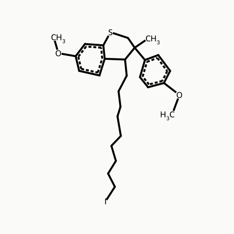 COc1ccc(C2(C)CSc3cc(OC)ccc3C2CCCCCCCCCI)cc1